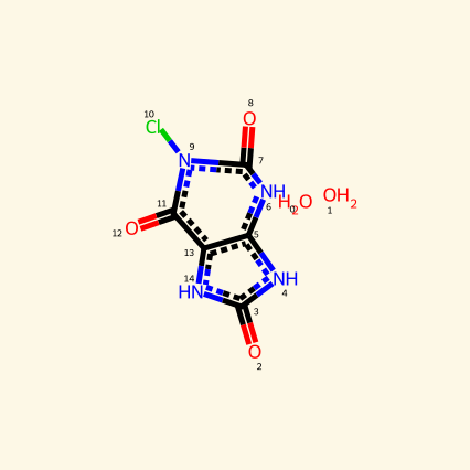 O.O.O=c1[nH]c2[nH]c(=O)n(Cl)c(=O)c2[nH]1